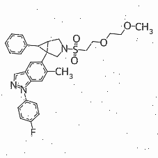 COCCOCCS(=O)(=O)N1CC2C(c3ccccc3)C2(c2cc3cnn(-c4ccc(F)cc4)c3cc2C)C1